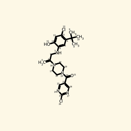 C=C(CNc1cc(C(C)(C)C)c(Cl)cc1O)N1CCN(C(=O)c2cnc(Cl)nc2)CC1